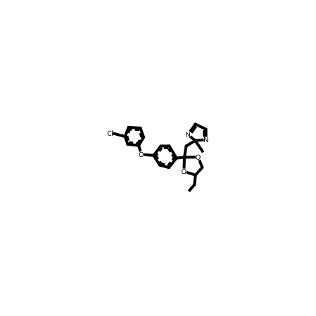 CCC1COC(CC2(C)N=CC=N2)(c2ccc(Oc3cccc(Cl)c3)cc2)O1